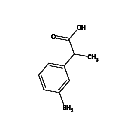 Bc1cccc(C(C)C(=O)O)c1